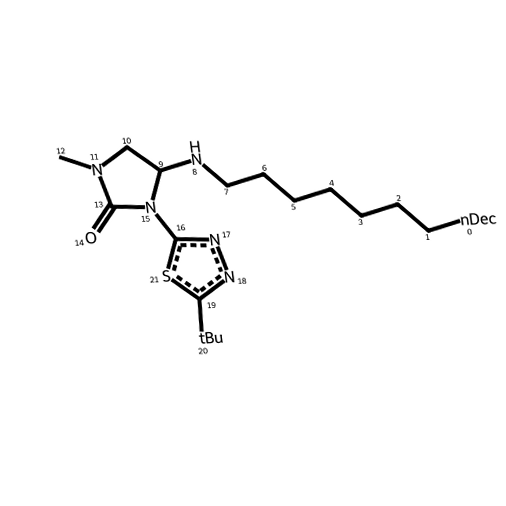 CCCCCCCCCCCCCCCCCNC1CN(C)C(=O)N1c1nnc(C(C)(C)C)s1